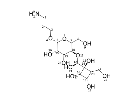 NCCCO[C@@H]1OC(CO)[C@@H](O[C@H](O)[C@@]2(O)C(O)[C@@H](O)C2CO)C(O)[C@@H]1O